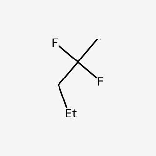 [CH2]CCC([CH2])(F)F